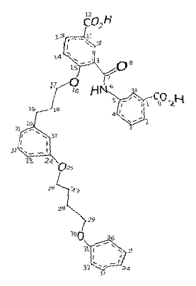 O=C(O)c1cccc(NC(=O)c2cc(C(=O)O)ccc2OCCCc2cccc(OCCCCOc3ccccc3)c2)c1